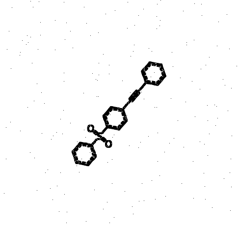 O=S(=O)(c1ccccc1)c1ccc(C#Cc2ccccc2)cc1